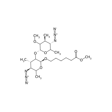 COC(=O)CCCCCO[C@H]1OC(C)[C@@H](N=[N+]=[N-])[C@H](C)C1O[C@H]1OC(C)[C@@H](N=[N+]=[N-])[C@H](C)C1OC